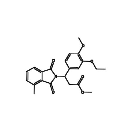 CCOc1cc(C(CC(=O)OC)N2C(=O)c3cccc(C)c3C2=O)ccc1OC